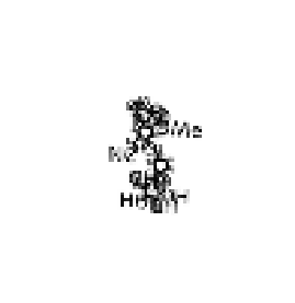 COC1(c2ccc(/C=C/C#N)c(OCc3ccc(O[C@@H]4OC(CO)[C@H](O)C(O)[C@@H]4O)cc3)c2)OOC12C1CC3CC(C1)CC2C3